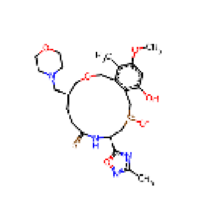 COc1cc(O)c2c(c1C)COC[C@H](CN1CCOCC1)CCC(=S)N[C@H](c1nc(C)no1)C[S+]([O-])C2